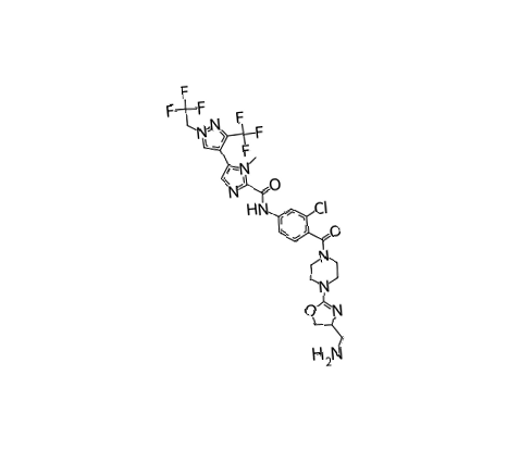 Cn1c(-c2cn(CC(F)(F)F)nc2C(F)(F)F)cnc1C(=O)Nc1ccc(C(=O)N2CCN(C3=NC(CN)CO3)CC2)c(Cl)c1